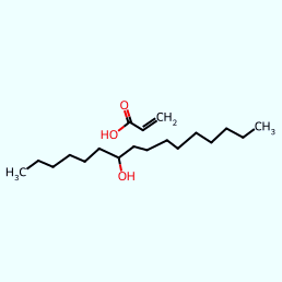 C=CC(=O)O.CCCCCCCCCC(O)CCCCCC